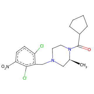 C[C@H]1CN(Cc2c(Cl)ccc([N+](=O)[O-])c2Cl)CCN1C(=O)C1CCCC1